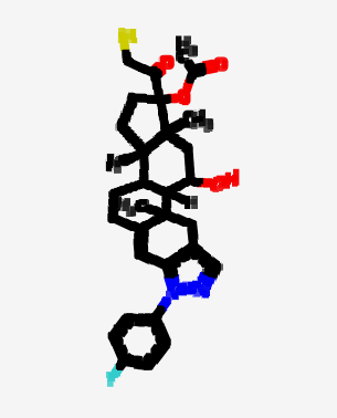 CC(=O)OC1(C(=O)CS)CC[C@H]2C3CCC4=Cc5c(cnn5-c5ccc(F)cc5)CC4(C)[C@H]3C(O)CC21C